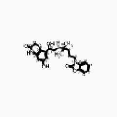 CC(C)(CCCn1c(=O)oc2ccccc21)NC[C@H](O)c1cc(O)cc2c1OCC(=O)N2